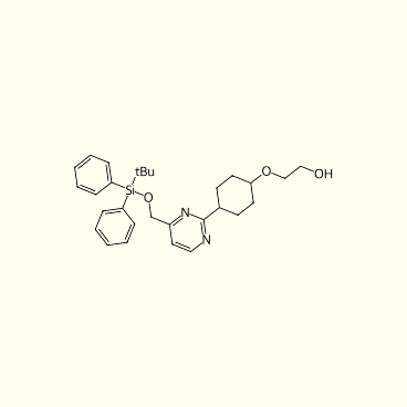 CC(C)(C)[Si](OCc1ccnc(C2CCC(OCCO)CC2)n1)(c1ccccc1)c1ccccc1